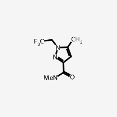 CNC(=O)c1cc(C)n(CC(F)(F)F)n1